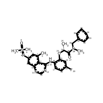 Cc1cc(N=S(C)(C)=O)cc2ncnc(Nc3ccc(F)cc3O[C@H](C)C(=O)N(C)Cc3ccccc3)c12